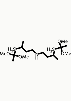 COC(C)(OC)[SiH2]C(C)CCNCCC(C)[SiH2]C(C)(OC)OC